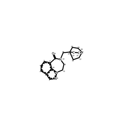 O=C1c2cccc3cnn(c23)CCN1CC12CCN(CC1)CC2